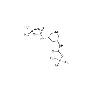 CC(C)(C)OC(=O)N[C@@H]1CNC[C@@H](NC(=O)OC(C)(C)C)C1